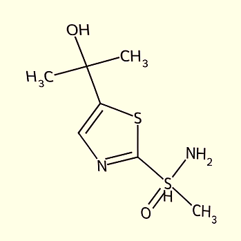 CC(C)(O)c1cnc([SH](C)(N)=O)s1